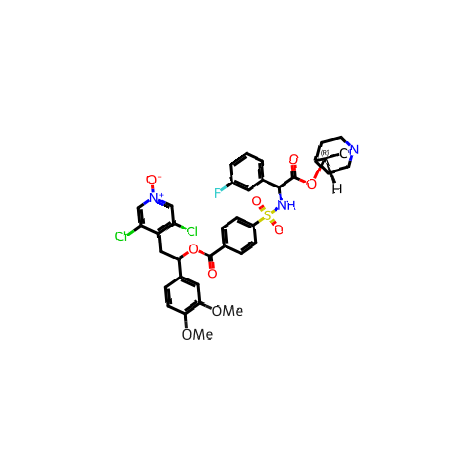 COc1ccc(C(Cc2c(Cl)c[n+]([O-])cc2Cl)OC(=O)c2ccc(S(=O)(=O)NC(C(=O)O[C@H]3CN4CCC3CC4)c3cccc(F)c3)cc2)cc1OC